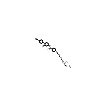 C=CC(=O)OCCCCCCOc1ccc(C(=O)Oc2ccc(-c3ccc(C#N)cc3)c(F)c2)cc1